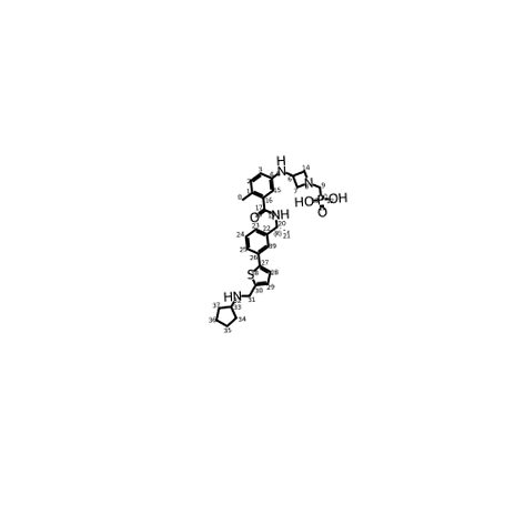 Cc1ccc(NC2CN(CP(=O)(O)O)C2)cc1C(=O)N[C@H](C)c1cccc(-c2ccc(CNC3CCCC3)s2)c1